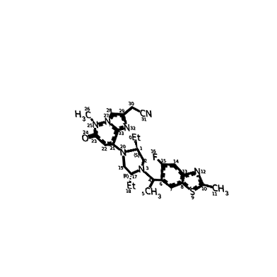 CC[C@H]1CN(C(C)c2cc3sc(C)nc3cc2F)[C@H](CC)CN1c1cc(=O)n(C)n2cc(CC#N)nc12